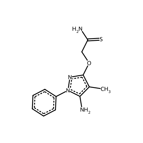 Cc1c(OCC(N)=S)nn(-c2ccccc2)c1N